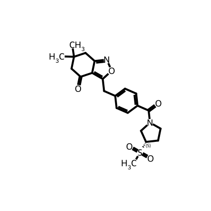 CC1(C)CC(=O)c2c(noc2Cc2ccc(C(=O)N3CC[C@H](S(C)(=O)=O)C3)cc2)C1